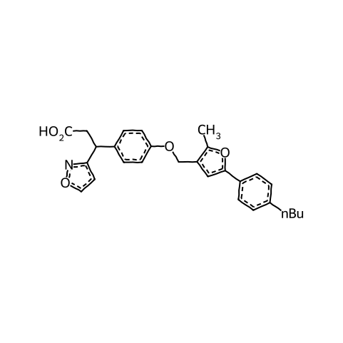 CCCCc1ccc(-c2cc(COc3ccc(C(CC(=O)O)c4ccon4)cc3)c(C)o2)cc1